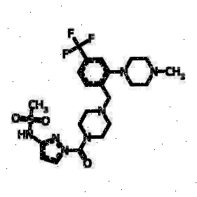 CN1CCN(c2cc(C(F)(F)F)ccc2CN2CCN(C(=O)n3ccc(NS(C)(=O)=O)n3)CC2)CC1